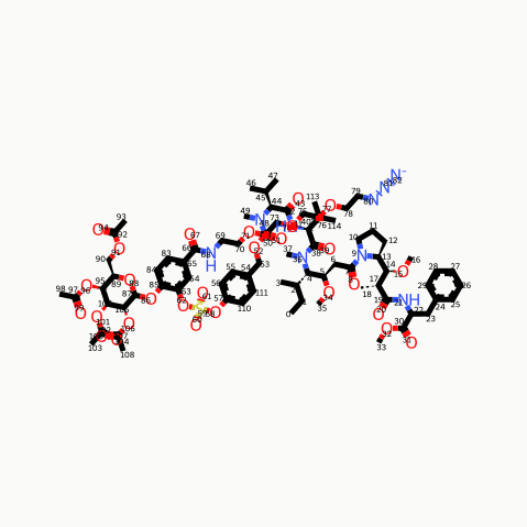 CCC(C)[C@@H]([C@@H](CC(=O)N1CCC[C@H]1[C@H](OC)[C@@H](C)C(=O)NC(Cc1ccccc1)C(=O)OC)OC)N(C)C(=O)[C@@H](NC(=O)[C@H](C(C)C)N(C)C(=O)OCc1ccc(OS(=O)(=O)Oc2cc(C(=O)NCCOCCOCCOCCN=[N+]=[N-])ccc2OC2O[C@H](COC(C)=O)[C@H](OC(C)=O)[C@H](OC(C)=O)[C@H]2OC(C)=O)cc1)C(C)C